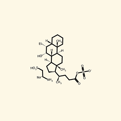 CC[C@H]1[C@@H](O)[C@@H]2[C@H](CC[C@]3(C)[C@@H]([C@H](C)CCC(=O)OS(=O)(=O)[O-])CC[C@@H]23)[C@@]2(C)CCCC[C@@H]12.NCCS(=O)(=O)O.[Na+]